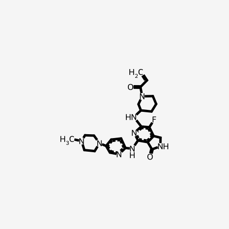 C=CC(=O)N1CCCC(Nc2nc(Nc3ccc(N4CCN(C)CC4)cn3)c3c(c2F)CNC3=O)C1